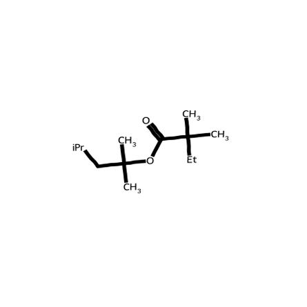 CCC(C)(C)C(=O)OC(C)(C)CC(C)C